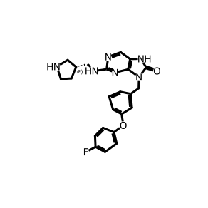 O=c1[nH]c2cnc(NC[C@@H]3CCNC3)nc2n1Cc1cccc(Oc2ccc(F)cc2)c1